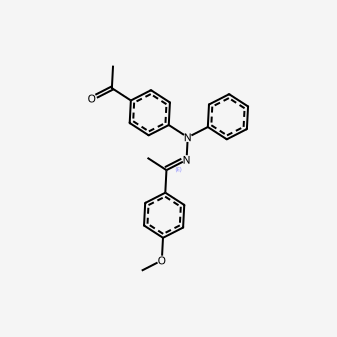 COc1ccc(/C(C)=N/N(c2ccccc2)c2ccc(C(C)=O)cc2)cc1